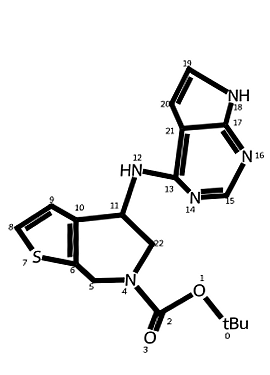 CC(C)(C)OC(=O)N1Cc2sccc2C(Nc2ncnc3[nH]ccc23)C1